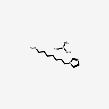 CCCCCCCCCCCCCCCCCn1ccnc1.CCCCP(CCCC)CCCC